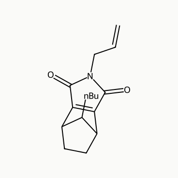 C=CCN1C(=O)C2=C(C1=O)C1CCC2C1CCCC